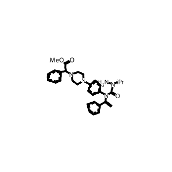 C=C(c1ccccc1)N(C(=O)N(N)C(C)C)c1ccc(N2CCN(C(C(=O)OC)c3ccccc3)CC2)cc1